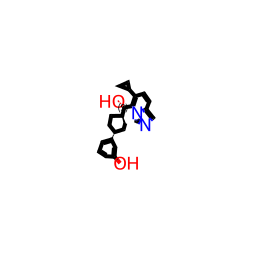 Oc1cccc([C@H]2CC[C@H]([C@H](O)c3c(C4CC4)ccc4cncn34)CC2)c1